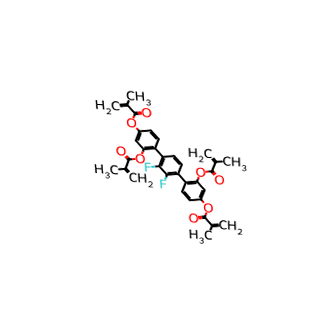 C=C(C)C(=O)Oc1ccc(-c2ccc(-c3ccc(OC(=O)C(=C)C)cc3OC(=O)C(=C)C)c(F)c2F)c(OC(=O)C(=C)C)c1